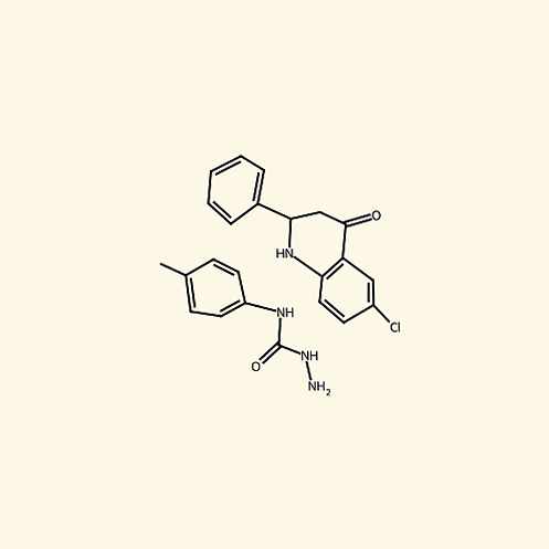 Cc1ccc(NC(=O)NN)cc1.O=C1CC(c2ccccc2)Nc2ccc(Cl)cc21